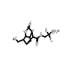 CC(=O)CC1C2CC3C1OC(=O)C3C2C(=O)OCC(F)(F)S(=O)(=O)O